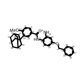 COc1ccc(C(=O)Nc2ccc(OCc3ccccc3)cc2N)cc1C12CC3CC(CC(C3)C1)C2